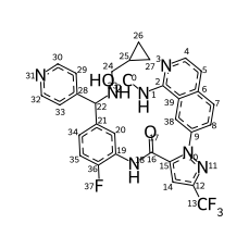 O=C(O)Nc1nccc2ccc(-n3nc(C(F)(F)F)cc3C(=O)Nc3cc(C(NCC4CC4)c4ccncc4)ccc3F)cc12